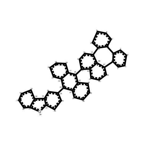 c1ccc2c(c1)-c1ccccc1-c1ccc(-c3c4ccccc4c(-c4ccc5oc6ccccc6c5c4)c4ccccc34)c3cccc-2c13